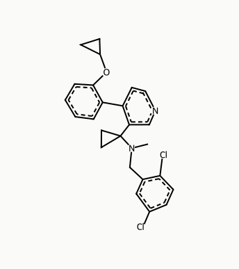 CN(Cc1cc(Cl)ccc1Cl)C1(c2cnccc2-c2ccccc2OC2CC2)CC1